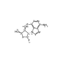 Nc1ncc(F)c2c1ncn2[C@@H]1C(F)C[C@@H](O)[C@H]1O